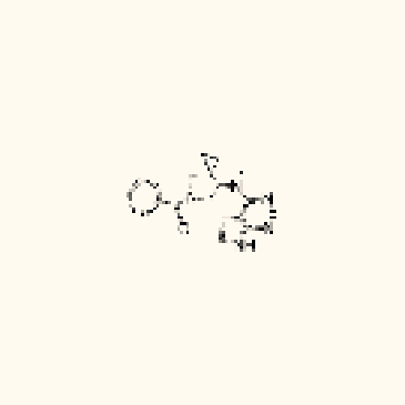 CN(c1ncnc2[nH]ccc12)[C@H]1CN(C(=O)c2ccccc2)CC12CC2